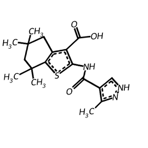 Cc1n[nH]cc1C(=O)Nc1sc2c(c1C(=O)O)CC(C)(C)CC2(C)C